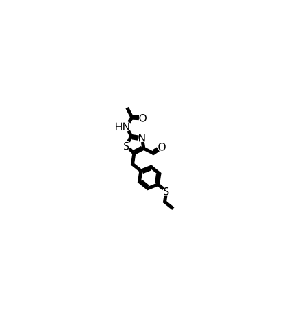 CCSc1ccc(Cc2sc(NC(C)=O)nc2C=O)cc1